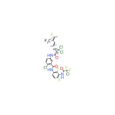 C/C(F)=C(\C=C(/C)[C@H]1[C@H](C(=O)Nc2ccc(Cl)c(C(=O)Nc3ccc(F)c(NC(=O)C(F)(F)Cl)c3F)c2)C1(Cl)Cl)C(F)(F)F